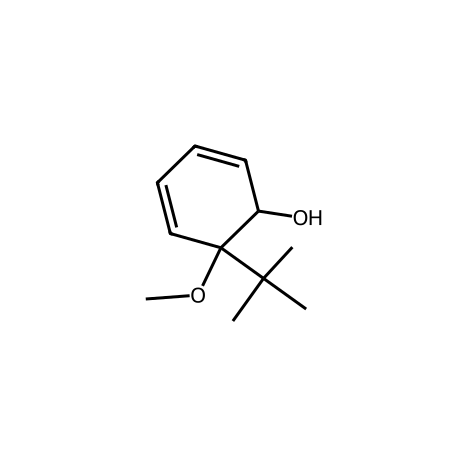 COC1(C(C)(C)C)C=CC=CC1O